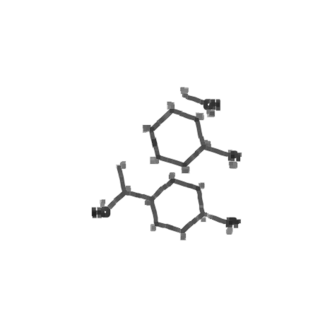 CC(C)C1CCC(C(C)O)CC1.CC(C)C1CCCCC1.CO